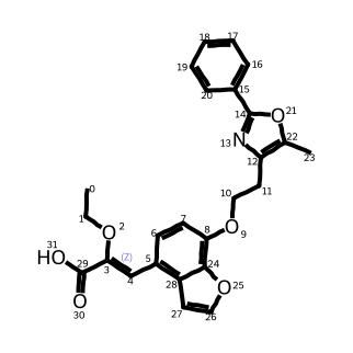 CCO/C(=C\c1ccc(OCCc2nc(-c3ccccc3)oc2C)c2occc12)C(=O)O